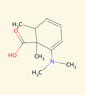 CC1C=CC=C(N(C)C)C1(C)C(=O)O